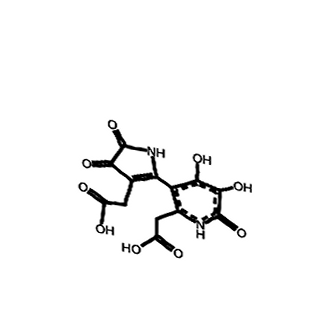 O=C(O)CC1=C(c2c(CC(=O)O)[nH]c(=O)c(O)c2O)NC(=O)C1=O